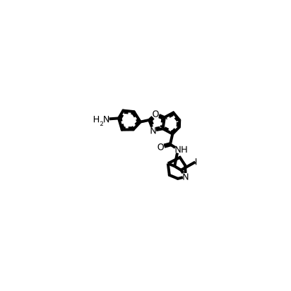 Nc1ccc(-c2nc3c(C(=O)NC4C5CCN(CC5)C4I)cccc3o2)cc1